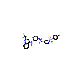 Cc1ccc(S(=O)(=O)n2ccc(C(=O)N[C@@H]3CCC[C@H](Nc4cc(C(F)(F)F)nc5ccccc45)C3)c2)cc1